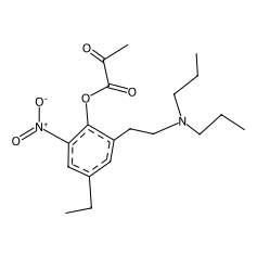 CCCN(CCC)CCc1cc(CC)cc([N+](=O)[O-])c1OC(=O)C(C)=O